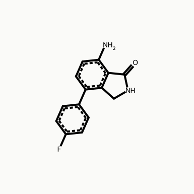 Nc1ccc(-c2ccc(F)cc2)c2c1C(=O)NC2